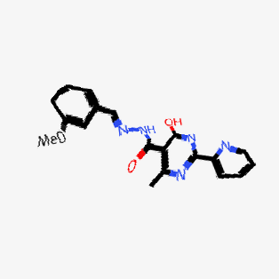 COc1cccc(C=NNC(=O)c2c(C)nc(-c3ccccn3)nc2O)c1